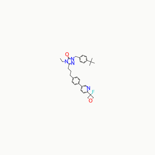 CCn1c(CCCc2ccc(-c3ccc(C4(F)COC4)nc3)cc2)nn(Cc2ccc(C(C)(C)C)cc2)c1=O